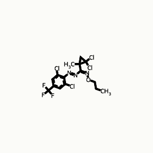 CCCO/N=C(\N=N\c1c(Cl)cc(C(F)(F)F)cc1Cl)C1(C)CC1(Cl)Cl